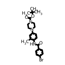 Cc1cc(N2CCN(C(=O)OC(C)(C)C)CC2)ccc1NC(=O)c1ccc(Br)cc1